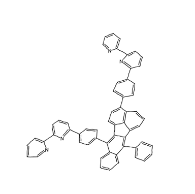 c1ccc(-c2c3c(c(-c4ccc(-c5cccc(-c6ccccn6)n5)cc4)c4ccccc24)-c2ccc(-c4ccc(-c5cccc(-c6ccccn6)n5)cc4)c4cccc-3c24)cc1